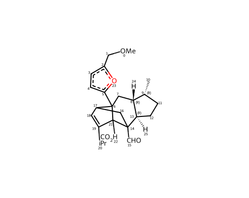 COCc1ccc(C23C[C@@H]4[C@H](C)CC[C@H]4C4(C=O)CC2C=C(C(C)C)C34C(=O)O)o1